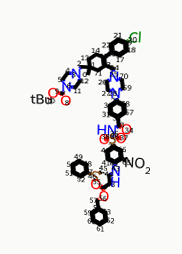 CC1(CN2CCN(C(=O)OC(C)(C)C)CC2)CCC(c2ccc(Cl)cc2)=C(CN2CCN(c3ccc(C(=O)NS(=O)(=O)c4ccc(N[C@@H](CSc5ccccc5)CC(=O)OCc5ccccc5)c([N+](=O)[O-])c4)cc3)CC2)C1